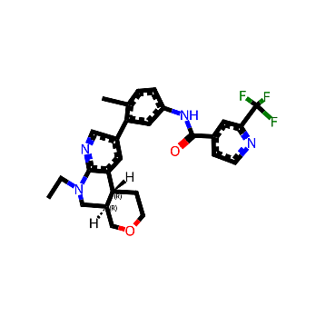 CCN1C[C@@H]2COCC[C@H]2c2cc(-c3cc(NC(=O)c4ccnc(C(F)(F)F)c4)ccc3C)cnc21